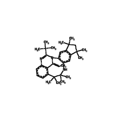 C/C=C1/c2c3cccc2C(C)(C)C(C)(C)Nc2cc4c(cc2N1C(C(C)(C)C)=N3)C(C)(C)CC4(C)C